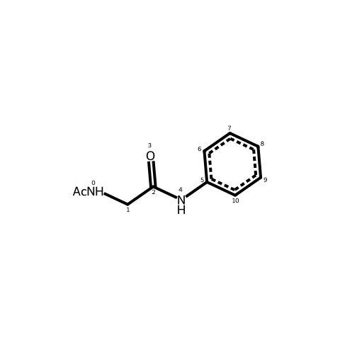 CC(=O)NCC(=O)Nc1ccccc1